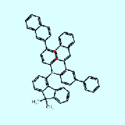 CC1(C)c2ccccc2-c2c(N(c3ccc(-c4ccc5ccccc5c4)cc3)c3ccc(-c4ccccc4)cc3-c3ccc4ccccc4c3)cccc21